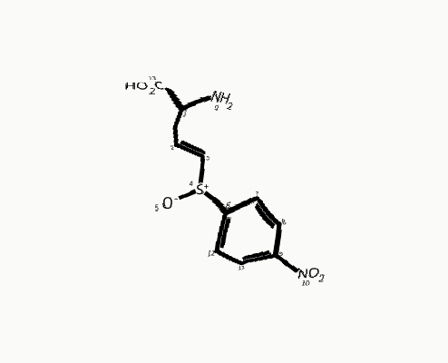 NC(C=C[S+]([O-])c1ccc([N+](=O)[O-])cc1)C(=O)O